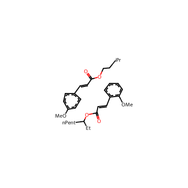 CCCCCC(CC)OC(=O)/C=C/c1ccccc1OC.COc1ccc(C=CC(=O)OCCC(C)C)cc1